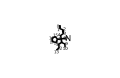 C=C/C=C\CC(C#N)(C(CC)CCC)C1CCCC1